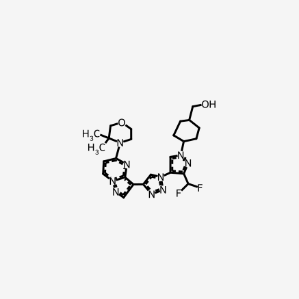 CC1(C)COCCN1c1ccn2ncc(-c3cn(-c4cn(C5CCC(CO)CC5)nc4C(F)F)nn3)c2n1